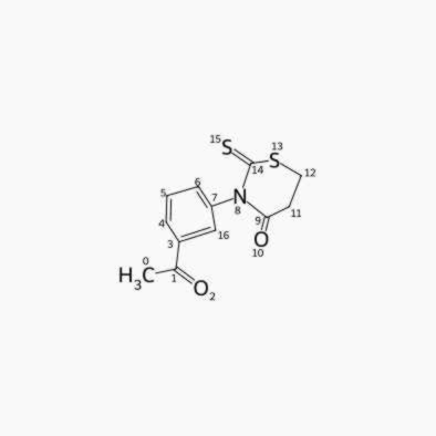 CC(=O)c1cccc(N2C(=O)CCSC2=S)c1